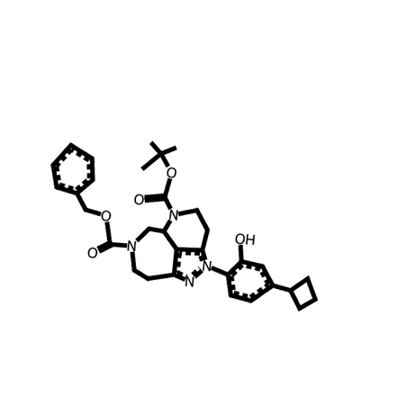 CC(C)(C)OC(=O)N1CCc2c3c(nn2-c2ccc(C4CCC4)cc2O)CCN(C(=O)OCc2ccccc2)CC31